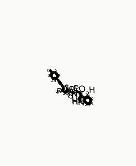 Cc1ccc(C#Cc2sc(S(=O)(=O)N[C@H](Cc3c[nH]c4ccccc34)C(=O)O)cc2F)cc1